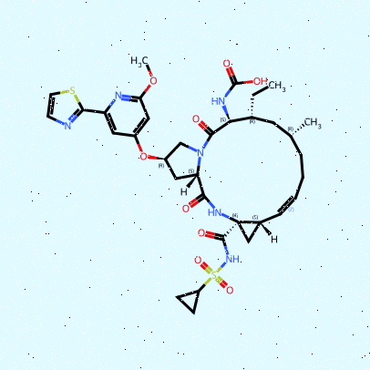 CC[C@@H]1C[C@H](C)CC/C=C\[C@@H]2C[C@@]2(C(=O)NS(=O)(=O)C2CC2)NC(=O)[C@@H]2C[C@@H](Oc3cc(OC)nc(-c4nccs4)c3)CN2C(=O)[C@H]1NC(=O)O